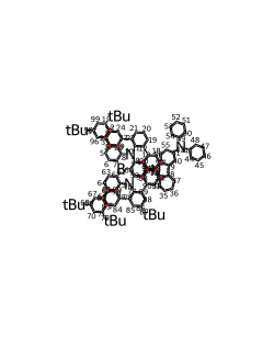 CC(C)(C)c1cc(-c2ccc3c(c2)N(c2c(-c4ccccc4)cccc2-c2ccccc2)c2cc(-n4c5ccccc5c5cc(N(c6ccccc6)c6ccccc6)ccc54)cc4c2B3c2ccc(-c3cc(C(C)(C)C)cc(C(C)(C)C)c3)cc2N4c2c(-c3ccccc3)cc(C(C)(C)C)cc2-c2ccccc2)cc(C(C)(C)C)c1